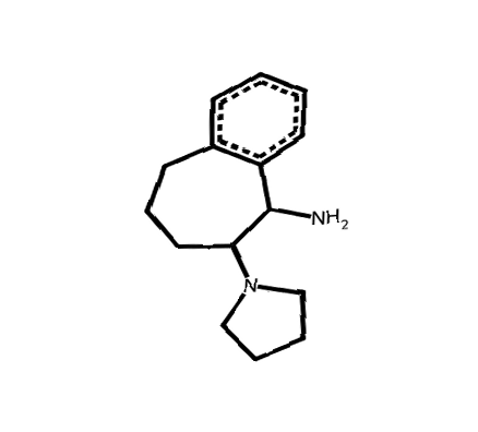 NC1c2ccccc2CCCC1N1CCCC1